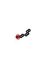 CC1(C)OB(c2ccc3cc(-c4ccc5ccc6c7ccccc7ccc6c5c4)ccc3c2)OC1(C)C